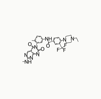 CCN1CCN(c2ccc(C(=O)Nc3ccc(C)c(-n4c(=O)c5cnc(NC)nc5n(C)c4=O)c3)cc2C(F)(F)F)CC1